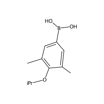 Cc1cc(B(O)O)cc(C)c1OC(C)C